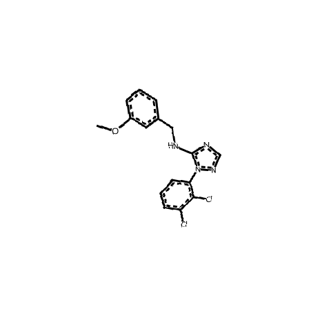 COc1cccc(CNc2ncnn2-c2cccc(Cl)c2Cl)c1